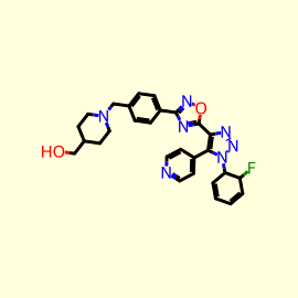 OCC1CCN(Cc2ccc(-c3noc(-c4nnn(C5C=CC=CC5F)c4-c4ccncc4)n3)cc2)CC1